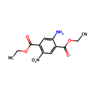 N#CCOC(=O)c1cc([N+](=O)[O-])c(C(=O)OCC#N)cc1N